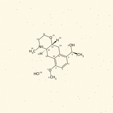 COc1ccc([C@H](C)O)c2c1C[C@@H]1[C@@H](C2)OCCN1C.Cl